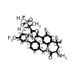 CC(C)(c1nnc(-c2cc3c(cc2F)C(F)(F)CC(N)C(=O)N3Cc2ccc(-n3cc(C(F)(F)F)cn3)cc2)o1)S(C)(=O)=O